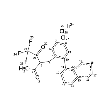 CC(=O)C(Cc1ccccc1-c1cccc2ccccc12)C(=O)C(F)(F)F.[Cl-].[Cl-].[Ti+2]